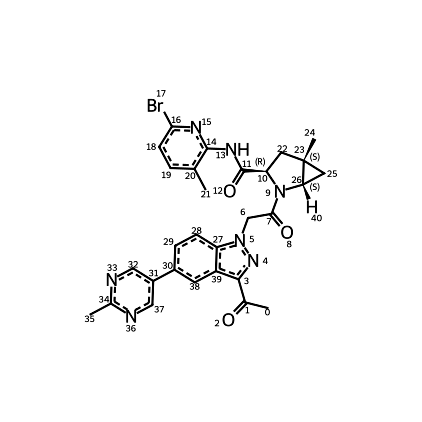 CC(=O)c1nn(CC(=O)N2[C@@H](C(=O)Nc3nc(Br)ccc3C)C[C@]3(C)C[C@H]23)c2ccc(-c3cnc(C)nc3)cc12